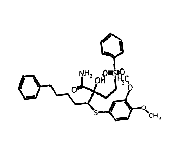 COc1ccc(SC(CCCCc2ccccc2)C(O)(CCS(=O)(=O)c2ccccc2)C(N)=O)cc1OC